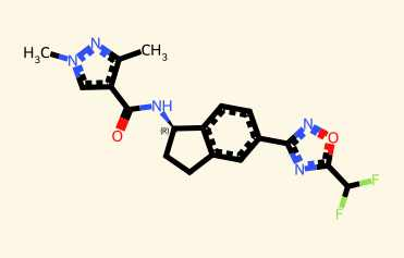 Cc1nn(C)cc1C(=O)N[C@@H]1CCc2cc(-c3noc(C(F)F)n3)ccc21